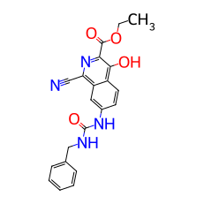 CCOC(=O)c1nc(C#N)c2cc(NC(=O)NCc3ccccc3)ccc2c1O